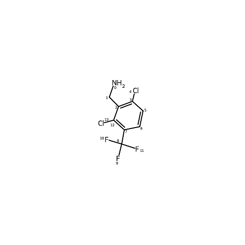 NCc1c(Cl)ccc(C(F)(F)F)c1Cl